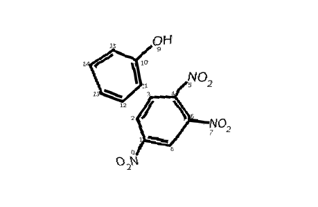 O=[N+]([O-])c1ccc([N+](=O)[O-])c([N+](=O)[O-])c1.Oc1ccccc1